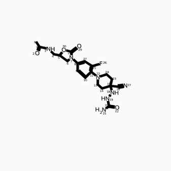 CC(=O)NCC1CN(c2ccc(N3CCC(C#N)(NNC(N)=O)CC3)c(F)c2)C(=O)O1